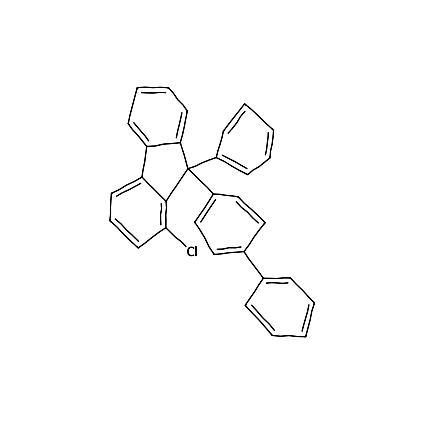 Clc1cccc2c1C(c1ccccc1)(c1ccc(-c3ccccc3)cc1)c1ccccc1-2